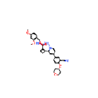 COc1ccc(CNC(=O)C2C3CC2(c2cc(-c4ccc(OC5CCOCC5)c(C#N)c4)ccn2)C3C(N)=O)c(OC)c1